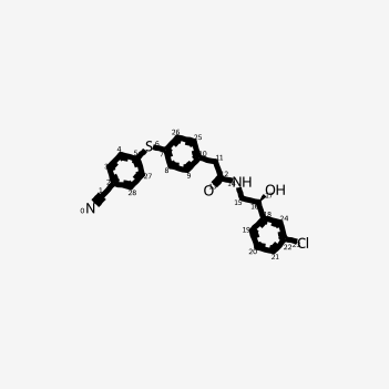 N#Cc1ccc(Sc2ccc(CC(=O)NC[C@@H](O)c3cccc(Cl)c3)cc2)cc1